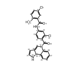 Cc1ccc(Cl)cc1C(=O)Nc1ccc(C(=O)N2C=C3C=CNN3c3ccccc32)c(Cl)c1